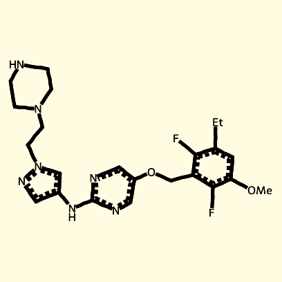 CCc1cc(OC)c(F)c(COc2cnc(Nc3cnn(CCN4CCNCC4)c3)nc2)c1F